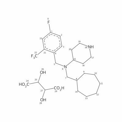 Fc1ccc(CN(CC2CCCCCC2)C2CCNCC2)c(C(F)(F)F)c1.O=C(O)C(O)C(O)C(=O)O